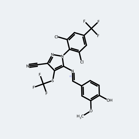 COc1cc(/C=N/c2c(SC(F)(F)F)c(C#N)nn2-c2c(Cl)cc(C(F)(F)F)cc2Cl)ccc1O